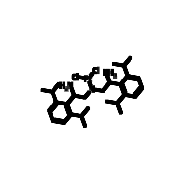 CC(C)c1cccc(C(C)C)c1C(N)C[N](CC(N)c1c(C(C)C)cccc1C(C)C)[Pt]([Cl])[Cl]